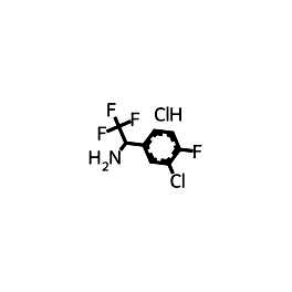 Cl.NC(c1ccc(F)c(Cl)c1)C(F)(F)F